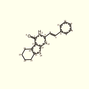 O=c1[nH]c(C=Cc2ccccc2)nc2sc3c(c12)CCCC3